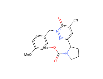 COc1ccc(Cn2nc(C3CCCN3C(=O)OC(C)(C)C)cc(C#N)c2=O)cc1